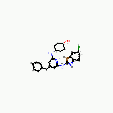 O[C@H]1CC[C@H](Nc2cc(Cc3ccccc3)cc(Nc3nc4ccc(Br)cc4s3)n2)CC1